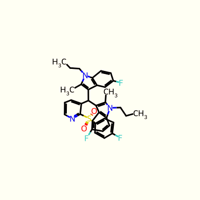 CCCn1c(C)c(C(c2cccnc2S(=O)(=O)c2ccc(F)cc2)c2c(C)n(CCC)c3ccc(F)cc23)c2cc(F)ccc21